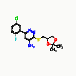 CC1(C)OCC(CSc2nnc(-c3cc(Cl)ccc3F)cc2N)O1